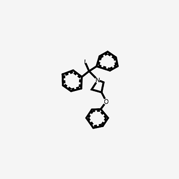 IC(c1ccccc1)(c1ccccc1)N1CC(Oc2ccccc2)C1